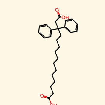 O=C(O)CCCCCCCCCCCC(CC(=O)O)(c1ccccc1)c1ccccc1